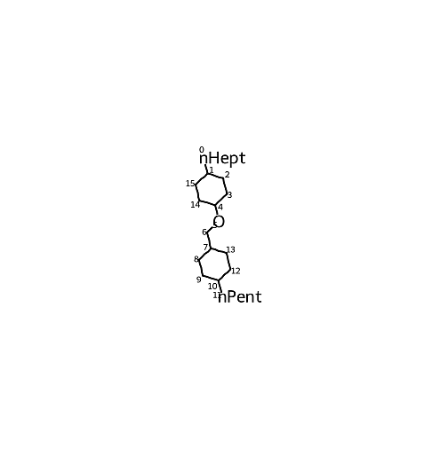 CCCCCCCC1CCC(OCC2CCC(CCCCC)CC2)CC1